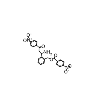 NC(CC(=O)c1ccc([N+](=O)[O-])cc1)c1ccccc1COC(=O)c1ccc([N+](=O)[O-])cc1